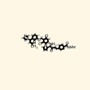 CNC(=O)c1ccc(/C=C/C(=O)C(N)c2cccn2-c2ccc(Cl)c(COc3cccc4c(-n5ccnc5)cc(C)nc34)c2Cl)cc1